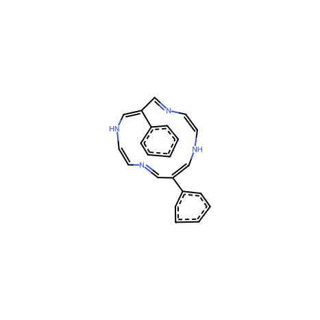 C1=C\N/C=C(c2ccccc2)/C=N/C=C\N\C=C(c2ccccc2)/C=N/1